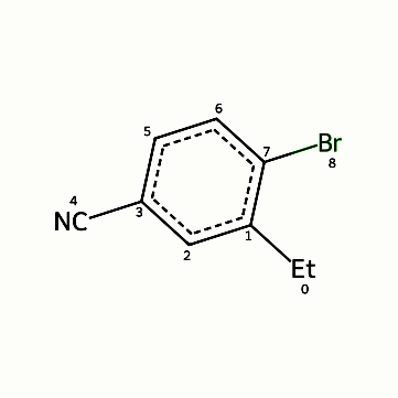 CCc1cc(C#N)ccc1Br